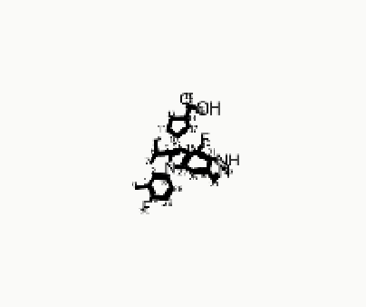 Cc1cc(-n2c(C(C)C)c([C@@H]3CCC(C(=O)O)C3)c3c(F)c4[nH]ncc4cc32)ccc1F